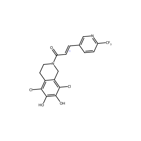 O=C(/C=C/c1ccc(C(F)(F)F)nc1)N1CCc2c(Cl)c(O)c(O)c(Cl)c2C1